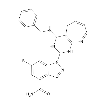 NC(=O)c1cc(F)cc2c1cnn2C1NC2=C(CC=CC=N2)C(NCc2ccccc2)N1